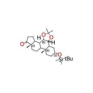 CC1(C)O[C@@H]2C3C(CC[C@]4(C)C(=O)CCC34)[C@@]3(C)CC[C@H](O[Si](C)(C)C(C)(C)C)CC3[C@H]2O1